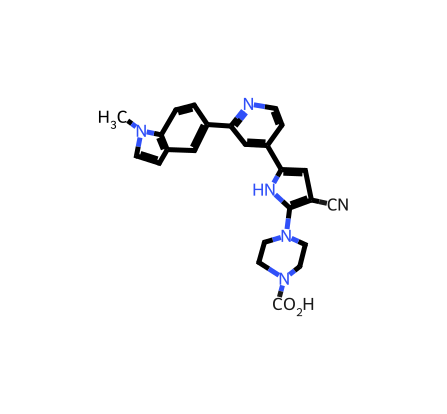 Cn1ccc2cc(-c3cc(-c4cc(C#N)c(N5CCN(C(=O)O)CC5)[nH]4)ccn3)ccc21